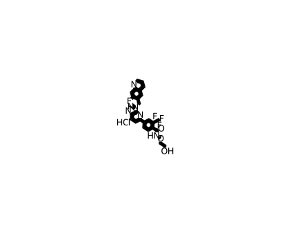 Cl.O=C(NOCCO)c1ccc(-c2ccc3nnn(Cc4cc5cccnc5cc4F)c3n2)cc1C(F)(F)F